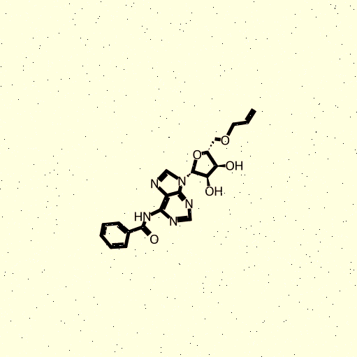 C=CCOC[C@H]1O[C@@H](n2cnc3c(NC(=O)c4ccccc4)ncnc32)[C@H](O)[C@@H]1O